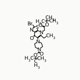 CCc1c(N2CCN(C(=O)OC(C)(C)C)CC2)c(=O)c2nc(Br)sc2n1CC(=O)OC(C)(C)C